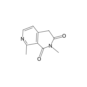 Cc1nccc2c1C(=O)N(C)C(=O)C2